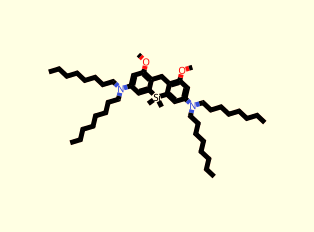 CCCCCCCCN(CCCCCCCC)c1cc(OC)c2c(c1)[Si](C)(C)c1cc(N(CCCCCCCC)CCCCCCCC)cc(OC)c1C2